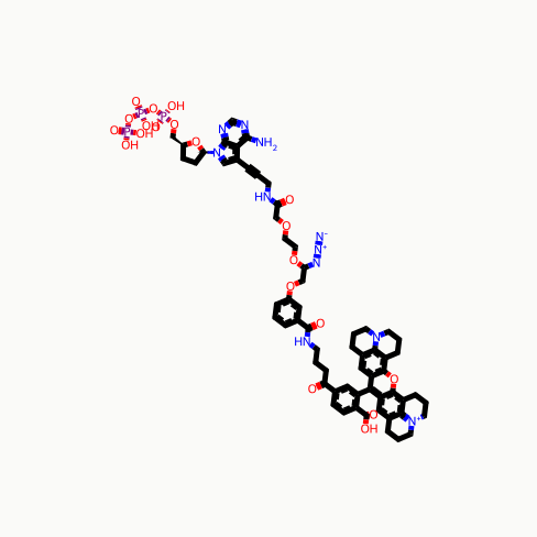 [N-]=[N+]=NC(COc1cccc(C(=O)NCCCC(=O)c2ccc(C(=O)O)c(C3=c4cc5c6c(c4Oc4c3cc3c7c4CCCN7CCC3)CCC[N+]=6CCC5)c2)c1)OCCOCC(=O)NCC#Cc1cn([C@H]2CC[C@@H](COP(=O)(O)OP(=O)(O)OP(=O)(O)O)O2)c2ncnc(N)c12